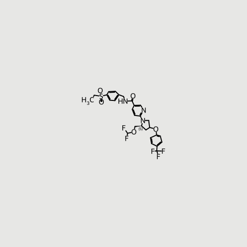 CCS(=O)(=O)c1ccc(CNC(=O)c2ccc(N3CC(Oc4ccc(C(F)(F)F)cc4)C[C@H]3COC(F)F)nc2)cc1